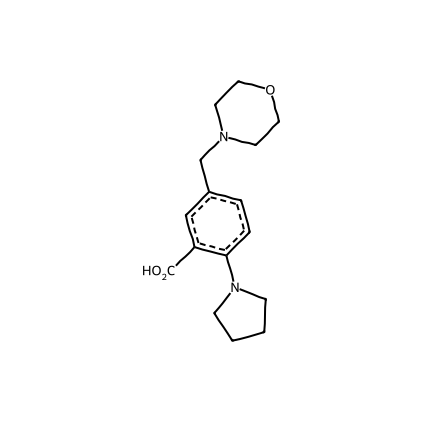 O=C(O)c1cc(CN2CCOCC2)ccc1N1CCCC1